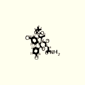 CC(CS(=O)(=O)C(C)(C)C)N1C(=O)[C@@H](CC(N)=O)O[C@H](c2cccc(Cl)c2)[C@H]1c1ccc(Cl)cc1